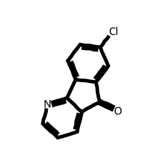 O=C1c2cc(Cl)ccc2-c2ncccc21